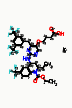 CCOC(=O)N1c2ccc(C(F)(F)F)cc2[C@@H](Nc2ncc(OCCCC(=O)O)c(Cc3cc(C(F)(F)F)cc(C(F)(F)F)c3)n2)C[C@H]1CC.[K]